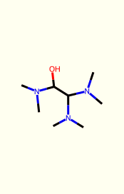 CN(C)C(O)C(N(C)C)N(C)C